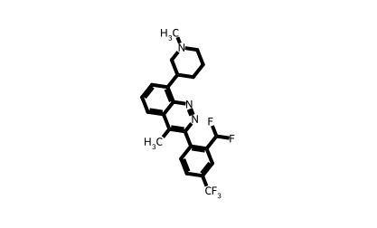 Cc1c(-c2ccc(C(F)(F)F)cc2C(F)F)nnc2c(C3CCCN(C)C3)cccc12